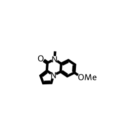 COc1ccc2c(c1)n1cccc1c(=O)n2C